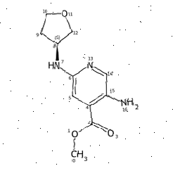 COC(=O)c1cc(N[C@H]2CCOC2)ncc1N